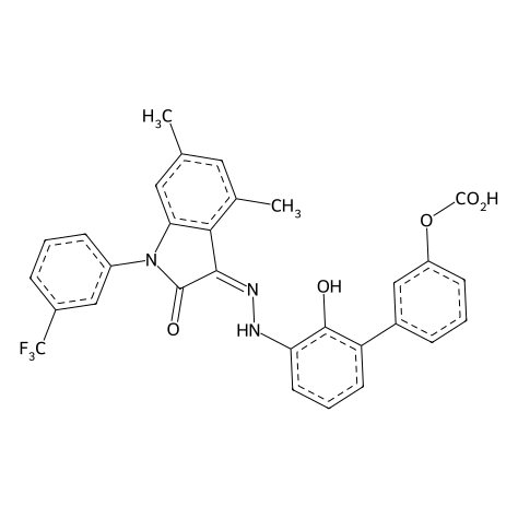 Cc1cc(C)c2c(c1)N(c1cccc(C(F)(F)F)c1)C(=O)C2=NNc1cccc(-c2cccc(OC(=O)O)c2)c1O